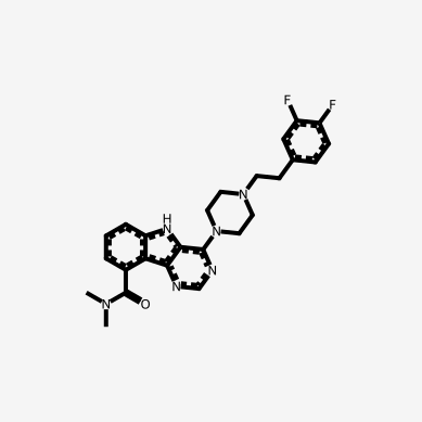 CN(C)C(=O)c1cccc2[nH]c3c(N4CCN(CCc5ccc(F)c(F)c5)CC4)ncnc3c12